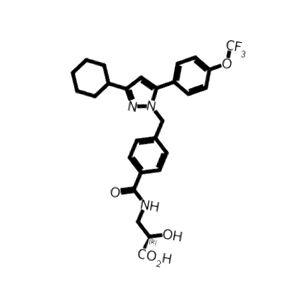 O=C(NC[C@@H](O)C(=O)O)c1ccc(Cn2nc(C3CCCCC3)cc2-c2ccc(OC(F)(F)F)cc2)cc1